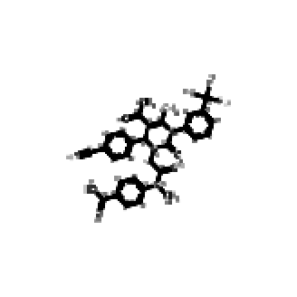 CC(=O)C1=C(C)N(c2cccc(C(F)(F)F)c2)C(=O)N(CC(=O)N(C)c2ccc(C(=O)O)cc2)C1c1ccc(C#N)cc1